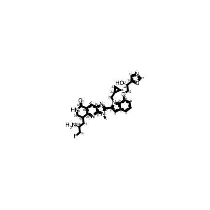 Cn1c(-c2cc3cccc(OC[C@H](O)c4cnco4)c3n2CC2CC2)nc2cc3c(nc21)C(C[C@H](N)CF)CNC3=O